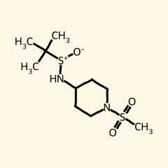 CC(C)(C)[S+]([O-])NC1CCN(S(C)(=O)=O)CC1